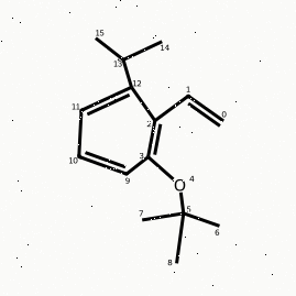 C=Cc1c(OC(C)(C)C)cccc1[C](C)C